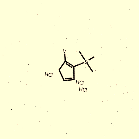 C[Si](C)(C)C1=[C]([V])CC=C1.Cl.Cl.Cl